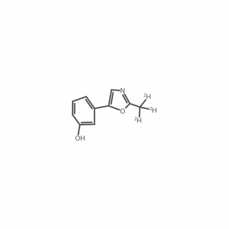 [2H]C([2H])([2H])c1ncc(-c2cccc(O)c2)o1